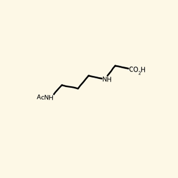 CC(=O)NCCCNCC(=O)O